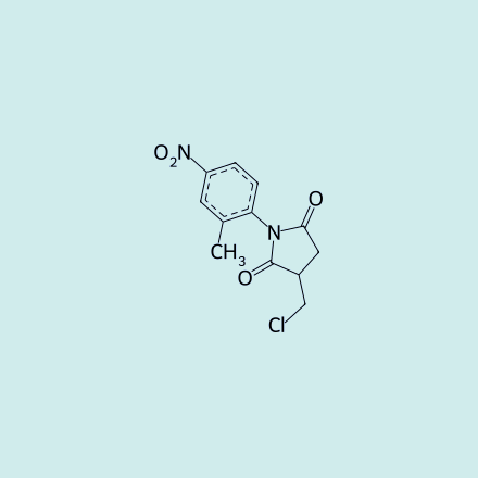 Cc1cc([N+](=O)[O-])ccc1N1C(=O)CC(CCl)C1=O